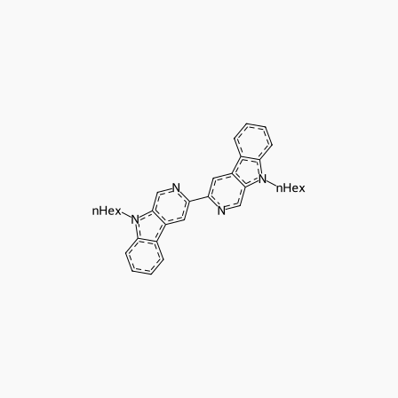 CCCCCCn1c2ccccc2c2cc(-c3cc4c5ccccc5n(CCCCCC)c4cn3)ncc21